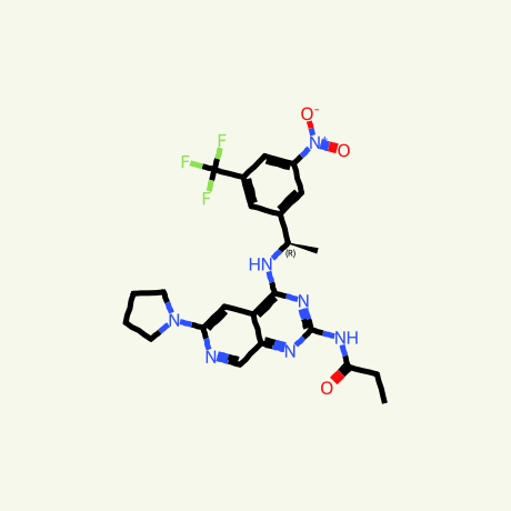 CCC(=O)Nc1nc(N[C@H](C)c2cc([N+](=O)[O-])cc(C(F)(F)F)c2)c2cc(N3CCCC3)ncc2n1